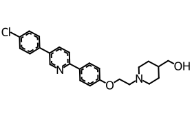 OCC1CCN(CCOc2ccc(-c3ccc(-c4ccc(Cl)cc4)cn3)cc2)CC1